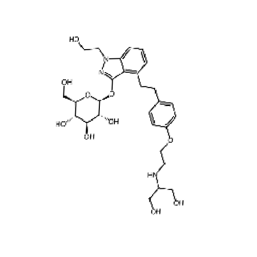 OCCn1nc(O[C@@H]2O[C@H](CO)[C@@H](O)[C@H](O)[C@H]2O)c2c(CCc3ccc(OCCNC(CO)CO)cc3)cccc21